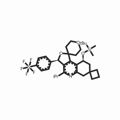 CC(C)c1nc2c(c3c1[C@@H](c1ccc(S(F)(F)(F)(F)F)cc1)OC31CCOCC1)[C@@H](O[Si](C)(C)C(C)(C)C)CC1(CCC1)C2